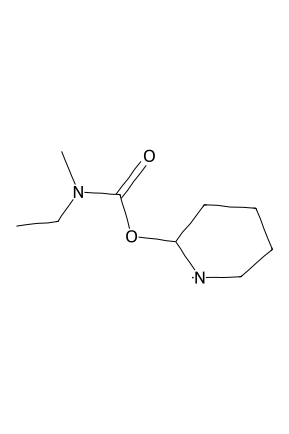 CCN(C)C(=O)OC1CCCC[N]1